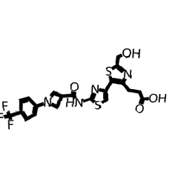 O=C(O)CCc1nc(CO)sc1-c1csc(NC(=O)C2CN(c3ccc(C(F)(F)F)cc3)C2)n1